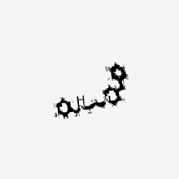 c1ccc(CC2CCN(CCCNCC3CCCCC3)CC2)cc1